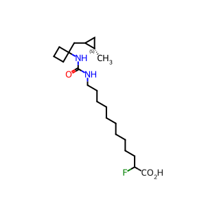 C[C@H]1CC1CC1(NC(=O)NCCCCCCCCCCC(F)C(=O)O)CCC1